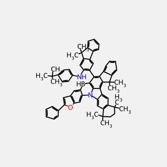 CC(C)(C)c1ccc(Nc2cc3c(cc2-c2c4c(c5c6cc7c(cc6n6c5c2Bc2cc5cc(-c8ccccc8)oc5cc2-6)C(C)(C)CCC7(C)C)C(C)(C)c2ccccc2-4)-c2ccccc2C3(C)C)cc1